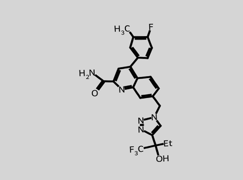 CCC(O)(c1cn(Cc2ccc3c(-c4ccc(F)c(C)c4)cc(C(N)=O)nc3c2)nn1)C(F)(F)F